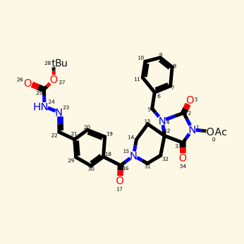 CC(=O)ON1C(=O)N(Cc2ccccc2)C2(CCN(C(=O)c3ccc(C=NNC(=O)OC(C)(C)C)cc3)CC2)C1=O